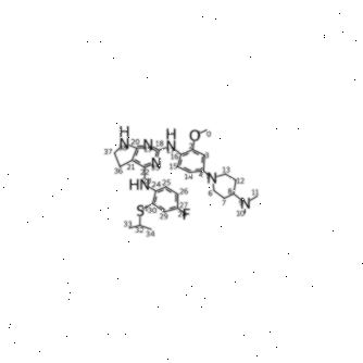 COc1cc(N2CCC(N(C)C)CC2)ccc1Nc1nc2c(c(Nc3ccc(F)cc3SC(C)C)n1)CCN2